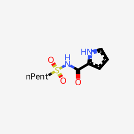 CCCCCS(=O)(=O)NC(=O)c1ccc[nH]1